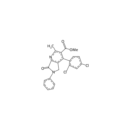 COC(=O)c1c(C)nc2c(c1-c1ccc(Cl)cc1Cl)CN(c1ccccc1)C2=O